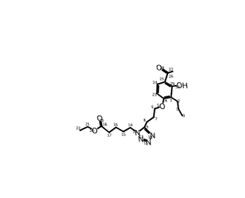 CCCc1c(OCCCc2nnnn2CCCCC(=O)OCC)ccc(C(C)=O)c1O